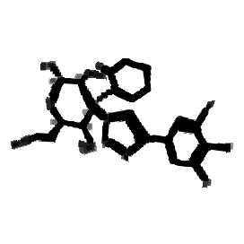 CC(=O)OC[C@H]1O[C@H](S)[C@H](OC(C)=O)[C@@](C2CCCCC2=O)(n2cc(-c3cc(F)c(F)c(F)c3)nn2)[C@H]1OC(C)=O